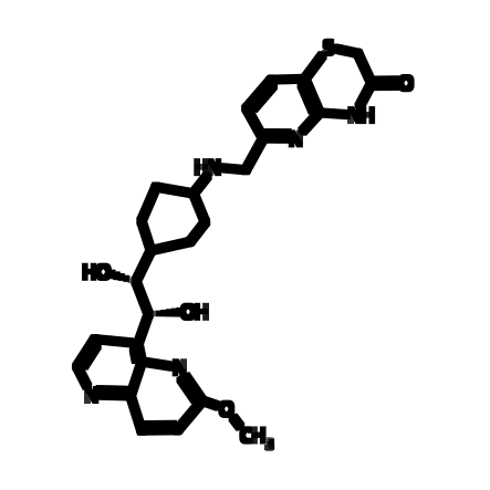 COc1ccc2nccc([C@@H](O)[C@H](O)C3CCC(NCc4ccc5c(n4)NC(=O)CS5)CC3)c2n1